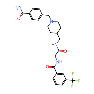 NC(=O)c1ccc(CN2CCC(CNC(=O)CNC(=O)c3cccc(C(F)(F)F)c3)CC2)cc1